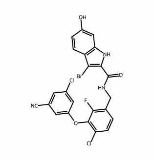 N#Cc1cc(Cl)cc(Oc2c(Cl)ccc(CNC(=O)c3[nH]c4cc(O)ccc4c3Br)c2F)c1